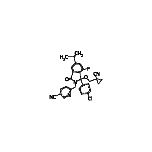 C=C(C)c1cc(F)c2c(c1)C(=O)N(Cc1ccc(C#N)cn1)C2(OCC1(C#N)CC1)c1ccc(Cl)cc1